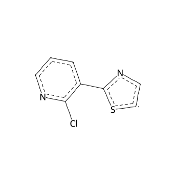 Clc1ncccc1-c1nc[c]s1